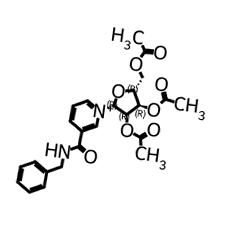 CC(=O)OC[C@H]1O[C@@H]([n+]2cccc(C(=O)NCc3ccccc3)c2)[C@H](OC(C)=O)[C@@H]1OC(C)=O